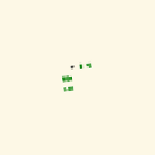 Br.Br.Br.[V]